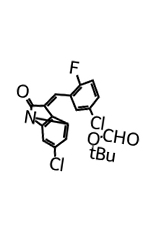 CC(C)(C)OC=O.O=C1C(=Cc2cc(Cl)ccc2F)c2c3cc(Cl)cc2N13